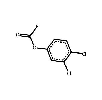 O=C(F)Oc1ccc(Cl)c(Cl)c1